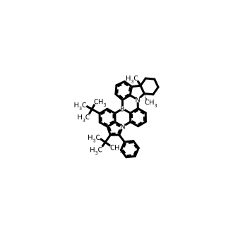 CC(C)(C)c1cc2c3c(c1)c(C(C)(C)C)c(-c1ccccc1)n3-c1cccc3c1B2c1cccc2c1N3[C@]1(C)CCCCC21C